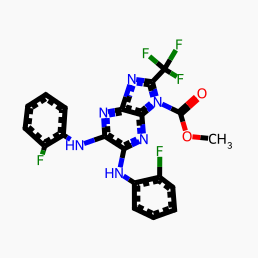 COC(=O)n1c(C(F)(F)F)nc2nc(Nc3ccccc3F)c(Nc3ccccc3F)nc21